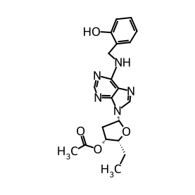 CC[C@H]1O[C@@H](n2cnc3c(NCc4ccccc4O)ncnc32)C[C@H]1OC(C)=O